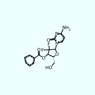 Nc1ccn(C2O[C@H](CO)C(OC(=O)c3ccccc3)C2(F)F)c(=O)n1